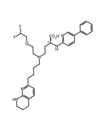 O=C(O)[C@H](CCN(CCCCc1ccc2c(n1)NCCC2)CCOCC(F)F)Nc1ccc(-c2ccccc2)cn1